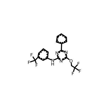 FC(F)(F)COc1nc(Nc2cccc(C(F)(F)F)c2)nc(-c2ccccc2)n1